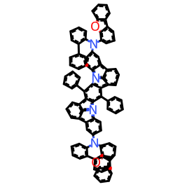 c1ccc(-c2ccccc2N(c2ccc3c(c2)c2cccc4c5c(-c6ccccc6)c6c(c(-c7ccccc7)c5n3c24)c2cccc3c4cc(N(c5ccccc5-c5ccccc5)c5cccc7c5oc5ccccc57)ccc4n6c32)c2cccc3c2oc2ccccc23)cc1